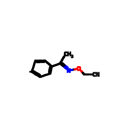 C/C(=N\OCC#N)c1cc[c]cc1